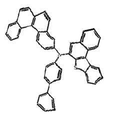 c1ccc(-c2ccc(N(c3ccc4c(ccc5ccc6ccccc6c54)c3)c3cc4ccccc4c4c3sc3ccccc34)cc2)cc1